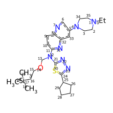 CCN1CCN(c2cnc3ccc(N(COCC[Si](C)(C)C)c4nnc(C5CCCC5)s4)nc3c2)CC1